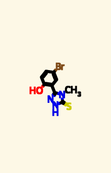 Cn1c(-c2cc(Br)ccc2O)n[nH]c1=S